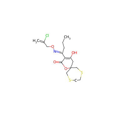 C=C(Cl)CON=C(CCC)C1=C(O)CC2(CSCCSC2)OC1=O